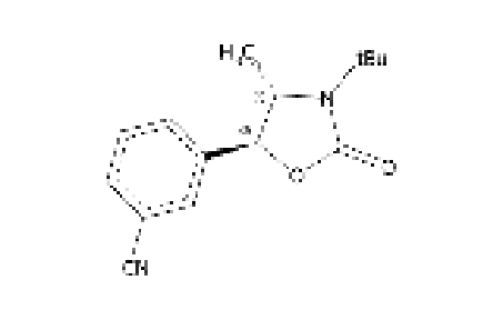 C[C@H]1[C@H](c2cccc(C#N)c2)OC(=O)N1C(C)(C)C